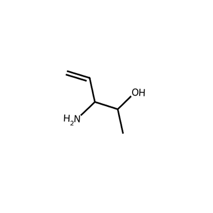 C=CC(N)C(C)O